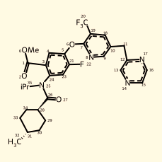 COC(=O)c1cc(Oc2ncc(Cc3cnccn3)cc2C(F)(F)F)c(F)cc1N(C(=O)[C@H]1CC[C@H](C)CC1)C(C)C